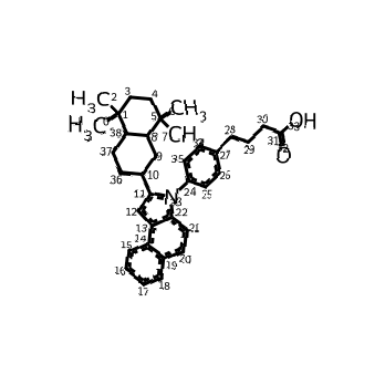 CC1(C)CCC(C)(C)C2CC(c3cc4c5ccccc5ccc4n3-c3ccc(CCCC(=O)O)cc3)CCC21